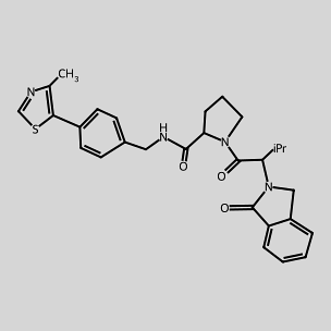 Cc1ncsc1-c1ccc(CNC(=O)C2CCCN2C(=O)C(C(C)C)N2Cc3ccccc3C2=O)cc1